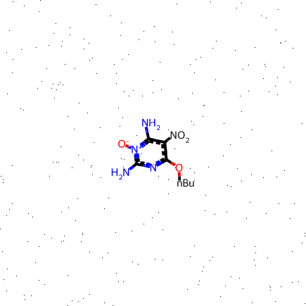 CCCCOc1nc(N)[n+]([O-])c(N)c1[N+](=O)[O-]